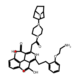 CN1C2CCC1CC(N1CCN(C(=O)CC3=C(C(=O)O)C(c4c(Cl)cccc4Cl)C(C(=O)O)=C(CCc4ccccc4OCCN)N3)CC1)C2